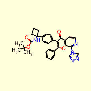 CC(C)(C)OC(=O)NC1(c2ccc(-c3c(-c4ccccc4)oc4c(-n5cnnc5)nccc4c3=O)cc2)CCC1